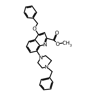 COC(=O)c1cc(OCc2ccccc2)c2cccc(N3CCN(Cc4ccccc4)CC3)c2n1